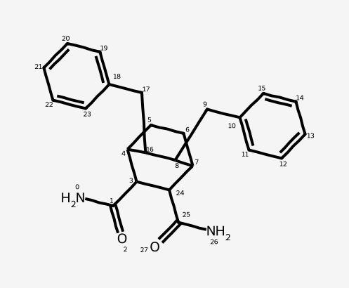 NC(=O)C1C2CCC(C(Cc3ccccc3)C2Cc2ccccc2)C1C(N)=O